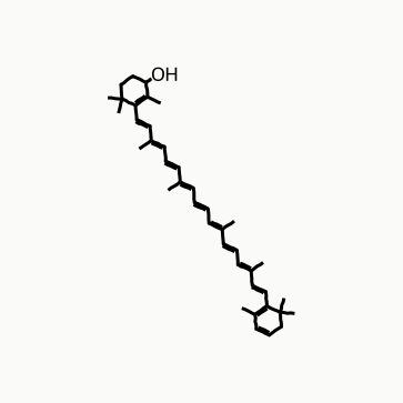 CC1=C(/C=C/C(C)=C/C=C/C(C)=C/C=C/C=C(C)/C=C/C=C(C)/C=C/C2=C(C)C(O)CCC2(C)C)C(C)(C)CC=C1